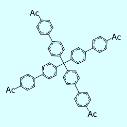 CC(=O)c1ccc(-c2ccc(C(c3ccc(-c4ccc(C(C)=O)cc4)cc3)(c3ccc(-c4ccc(C(C)=O)cc4)cc3)c3ccc(-c4ccc(C(C)=O)cc4)cc3)cc2)cc1